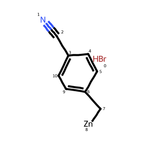 Br.N#Cc1ccc([CH2][Zn])cc1